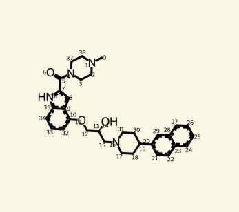 CN1CCN(C(=O)c2cc3c(OC[C@@H](O)CN4CCC(c5ccc6ccccc6c5)CC4)cccc3[nH]2)CC1